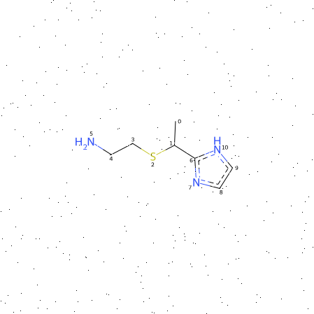 CC(SCCN)c1ncc[nH]1